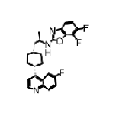 C[C@H](C[C@H]1CC[C@@H](c2ccnc3ccc(F)cc32)CC1)Nc1nc2ccc(F)c(F)c2o1